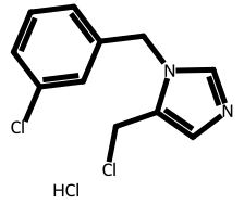 Cl.ClCc1cncn1Cc1cccc(Cl)c1